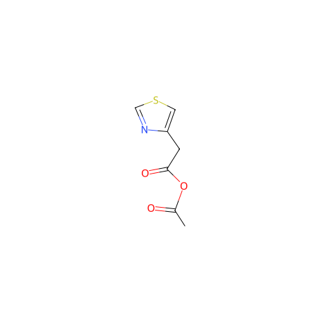 CC(=O)OC(=O)Cc1cscn1